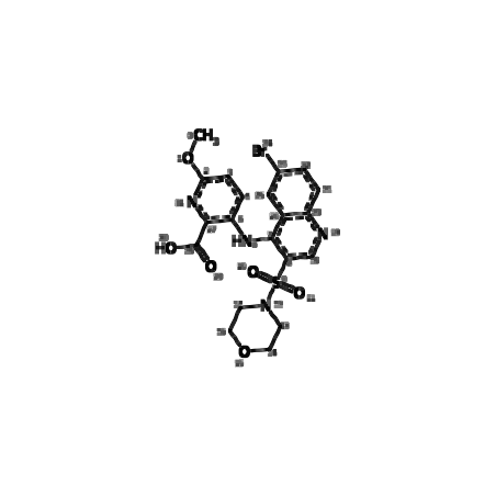 COc1ccc(Nc2c(S(=O)(=O)N3CCOCC3)cnc3ccc(Br)cc23)c(C(=O)O)n1